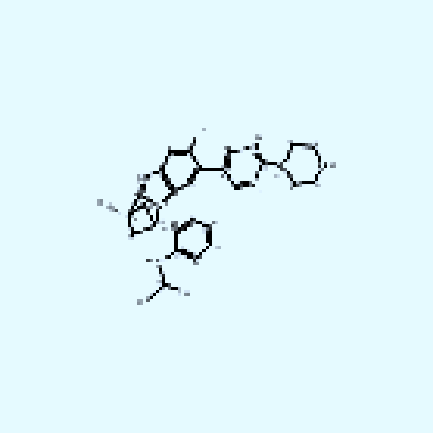 Fc1cc2nc3n(c2cc1-c1cnc(N2CCOCC2)nc1)[C@]1(c2ccccc2OC(F)F)C[C@H]3C1